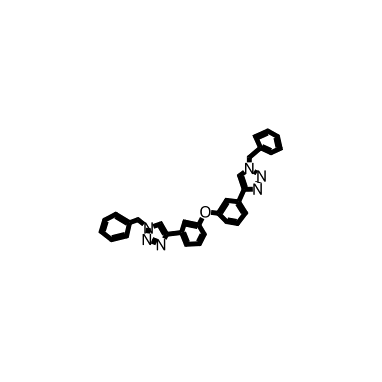 c1ccc(Cn2cc(-c3cccc(Oc4cccc(-c5cn(Cc6ccccc6)nn5)c4)c3)nn2)cc1